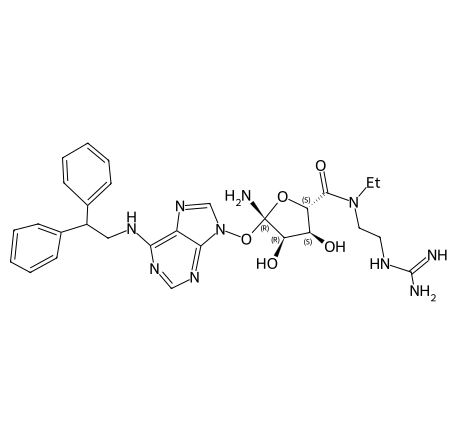 CCN(CCNC(=N)N)C(=O)[C@H]1O[C@@](N)(On2cnc3c(NCC(c4ccccc4)c4ccccc4)ncnc32)[C@H](O)[C@@H]1O